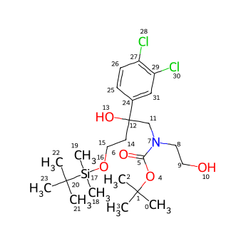 CC(C)(C)OC(=O)N(CCO)CC(O)(CCO[Si](C)(C)C(C)(C)C)c1ccc(Cl)c(Cl)c1